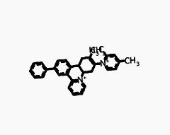 CC1=C([n+]2ccc(C)cc2C)CC2C(C1)c1ccc(-c3ccccc3)cc1-c1cccc[n+]12